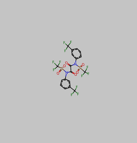 O=C(C(=O)N(c1cccc(C(F)(F)F)c1)S(=O)(=O)C(F)(F)F)N(c1cccc(C(F)(F)F)c1)S(=O)(=O)C(F)(F)F